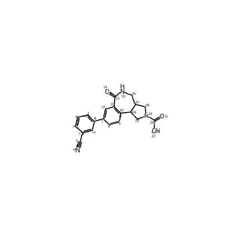 N#Cc1cccc(-c2ccc3c(c2)C(=O)NCC2CN(C(=O)O)CC32)c1